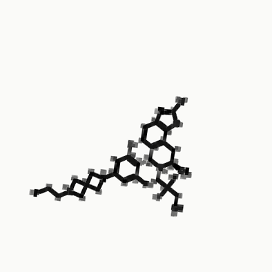 [2H]c1nc2ccc3c(c2o1)C[C@@H](C)N(CC(F)(F)CO)[C@@H]3c1c(F)cc(N2CC3(CN(CCF)C3)C2)cc1F